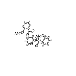 COc1ccccc1C(=O)Oc1ccnc(OC(=O)c2ccccc2OC)c1